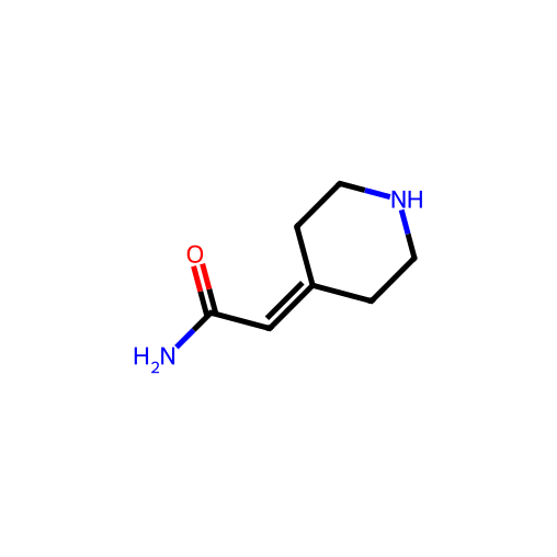 NC(=O)C=C1CCNCC1